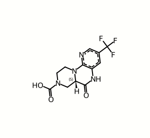 O=C1Nc2cc(C(F)(F)F)cnc2N2CCN(C(=O)O)C[C@@H]12